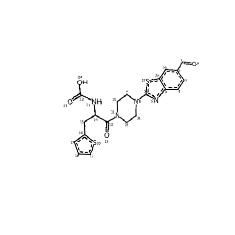 O=Cc1ccc2nc(N3CCN(C(=O)C(Cc4cccs4)NC(=O)O)CC3)sc2c1